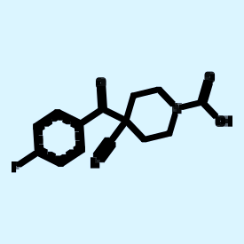 N#CC1(C(=O)c2ccc(F)cc2)CCN(C(=O)O)CC1